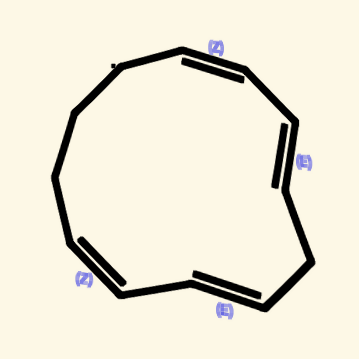 [CH]1/C=C\C=C\C/C=C/C=C\CC1